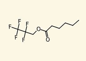 CCCCCC(=O)OCC(F)(F)C(F)(F)F